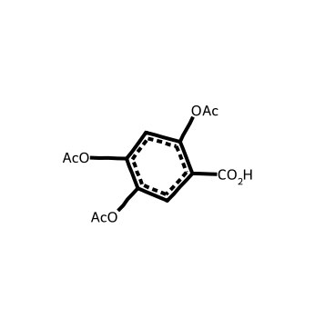 CC(=O)Oc1cc(OC(C)=O)c(C(=O)O)cc1OC(C)=O